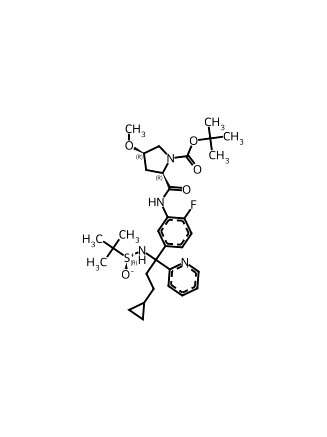 CO[C@@H]1C[C@H](C(=O)Nc2cc(C(CCC3CC3)(N[S@@+]([O-])C(C)(C)C)c3ccccn3)ccc2F)N(C(=O)OC(C)(C)C)C1